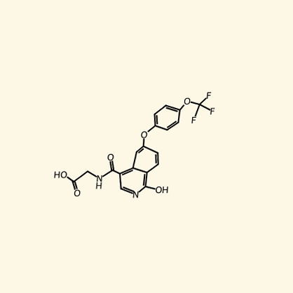 O=C(O)CNC(=O)c1cnc(O)c2ccc(Oc3ccc(OC(F)(F)F)cc3)cc12